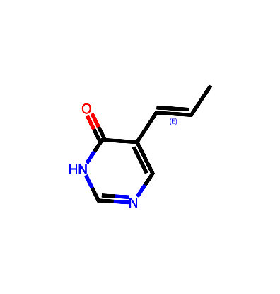 C/C=C/c1cnc[nH]c1=O